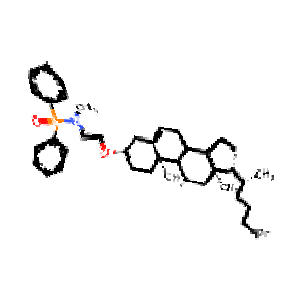 CC(C)CCC[C@@H](C)[C@H]1CCC2C3CC=C4C[C@@H](OCCN(C)P(=O)(c5ccccc5)c5ccccc5)CC[C@]4(C)C3CC[C@@]21C